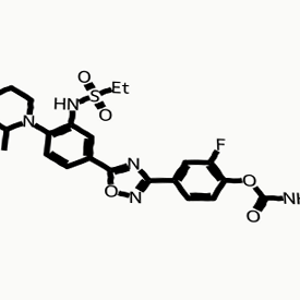 CCS(=O)(=O)Nc1cc(-c2nc(-c3ccc(OC(N)=O)c(F)c3)no2)ccc1N1CCCCC1C